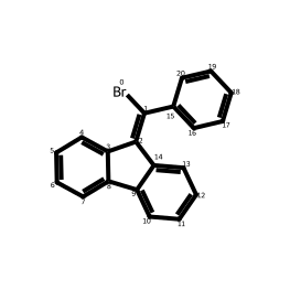 BrC(=C1c2ccccc2-c2ccccc21)c1ccccc1